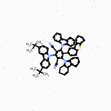 CC(C)(C)c1ccc2c(c1)c1cc(C(C)(C)C)ccc1n2-c1c(C#N)c(-n2c3c(c4ccccc42)C=CCC3)c(-c2ccc3sc4ccccc4c3c2)c(-n2c3ccccc3c3ccccc32)c1C#N